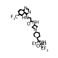 CC[C@H](NS(=O)(=O)C(F)(F)F)[C@H]1CC[C@H](N2CC(NC(=O)CNc3ncnc4ccc(C(F)(F)F)cc34)C2)CC1